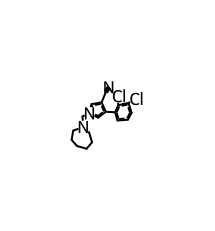 N#Cc1cn(CN2CCCCCC2)cc1-c1cccc(Cl)c1Cl